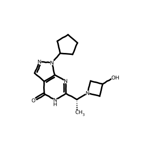 C[C@H](c1nc2c(cnn2C2CCCC2)c(=O)[nH]1)N1CC(O)C1